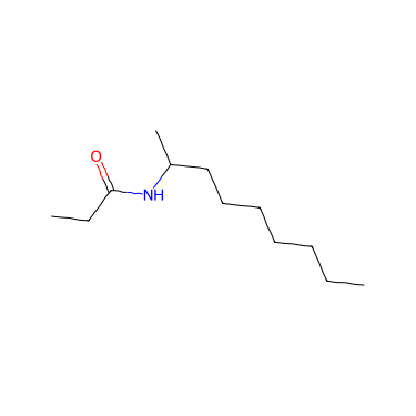 CCCCCCCC(C)NC(=O)CC